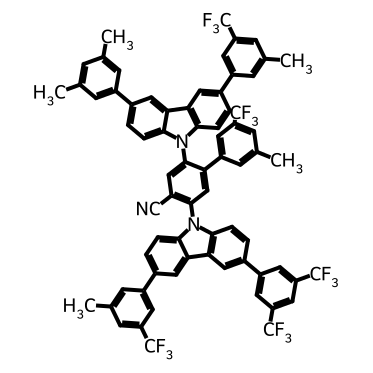 Cc1cc(C)cc(-c2ccc3c(c2)c2cc(-c4cc(C)cc(C(F)(F)F)c4)ccc2n3-c2cc(C#N)c(-n3c4ccc(-c5cc(C)cc(C(F)(F)F)c5)cc4c4cc(-c5cc(C(F)(F)F)cc(C(F)(F)F)c5)ccc43)cc2-c2cc(C)cc(C(F)(F)F)c2)c1